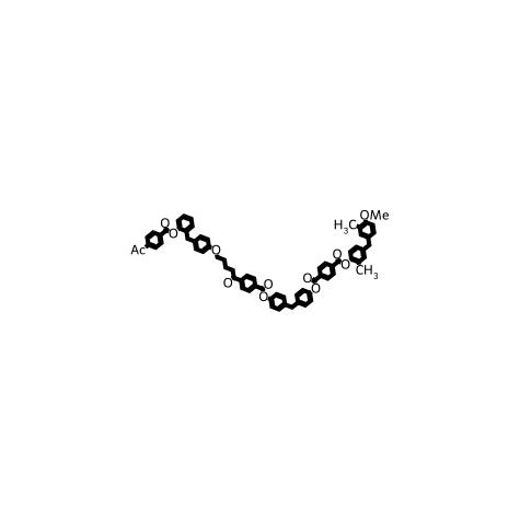 COc1ccc(Cc2ccc(OC(=O)c3ccc(C(=O)Oc4ccc(Cc5ccc(OC(=O)c6ccc(C(=O)CCCCOc7ccc(Cc8ccccc8OC(=O)c8ccc(C(C)=O)cc8)cc7)cc6)cc5)cc4)cc3)c(C)c2)cc1C